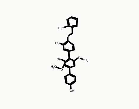 COc1cc(-c2ccc(O)cc2)c(OC)c(O)c1-c1ccc(OCc2ccccc2N)c(O)c1